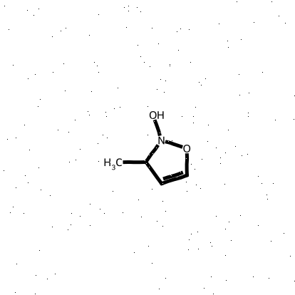 CC1C=CON1O